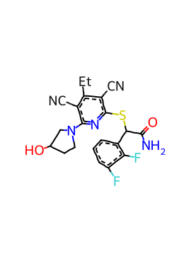 CCc1c(C#N)c(SC(C(N)=O)c2cccc(F)c2F)nc(N2CCC(O)C2)c1C#N